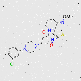 CON=C1CCC[N+]2([O-])C(CCN3CCN(c4cccc(Cl)c4)CC3)[N+](=O)C3=CC12CS3